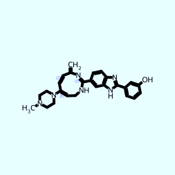 C=C1/C=C\C(N2CCN(C)CC2)=C/CN/C(c2ccc3nc(-c4cccc(O)c4)[nH]c3c2)=N\1